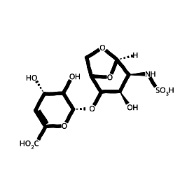 O=C(O)C1=C[C@H](O)C(O)[C@H](OC2C3CO[C@H](O3)[C@@H](NS(=O)(=O)O)[C@H]2O)O1